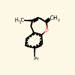 C=C1C=C(C)c2ccc(C(C)C)cc2O1